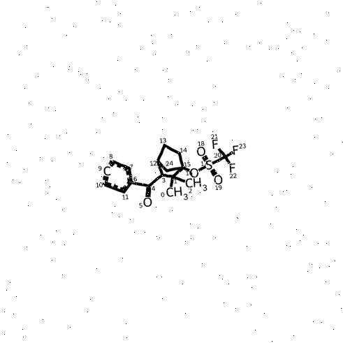 CC1(C)C(C(=O)c2ccccc2)C2CCC1(OS(=O)(=O)C(F)(F)F)C2